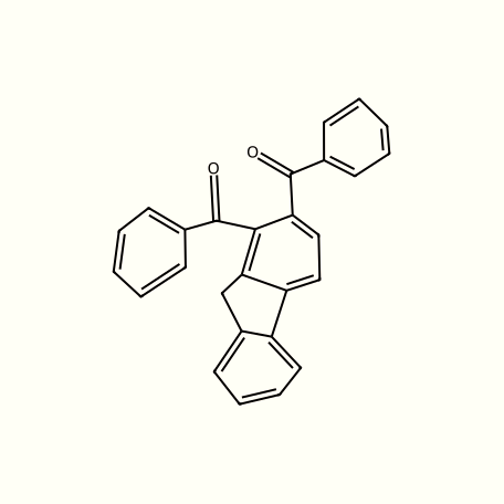 O=C(c1ccccc1)c1ccc2c(c1C(=O)c1ccccc1)Cc1ccccc1-2